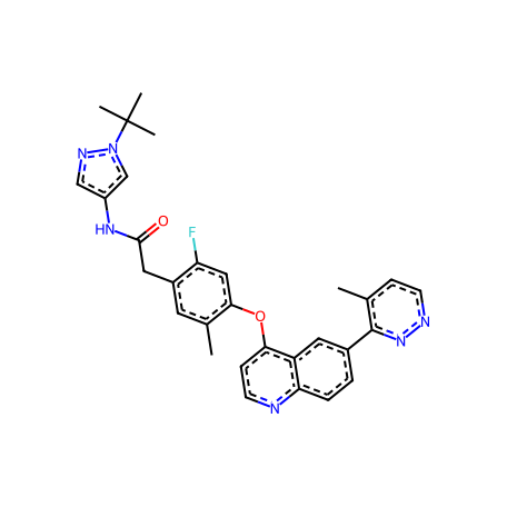 Cc1cc(CC(=O)Nc2cnn(C(C)(C)C)c2)c(F)cc1Oc1ccnc2ccc(-c3nnccc3C)cc12